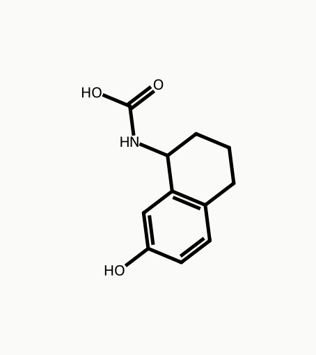 O=C(O)NC1CCCc2ccc(O)cc21